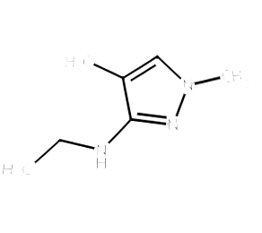 CCNc1nn(C)cc1C